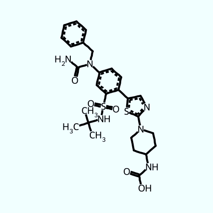 CC(C)(C)NS(=O)(=O)c1cc(N(Cc2ccccc2)C(N)=O)ccc1-c1cnc(N2CCC(NC(=O)O)CC2)s1